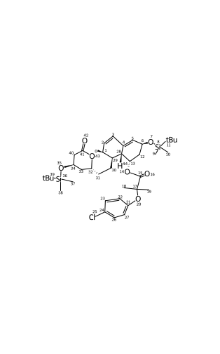 C[C@H]1C=CC2=C[C@@H](O[Si](C)(C)C(C)(C)C)C[C@H](OC(=O)C(C)(C)Oc3ccc(Cl)cc3)[C@@H]2[C@H]1CC[C@@H]1C[C@@H](O[Si](C)(C)C(C)(C)C)CC(=O)O1